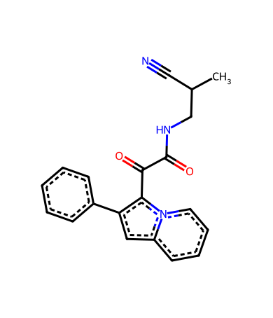 CC(C#N)CNC(=O)C(=O)c1c(-c2ccccc2)cc2ccccn12